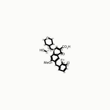 COc1cc2c(cc1Cc1cccc(Cl)c1F)c(=O)c(C(=O)O)cn2[C@H](CO)C1CCOCC1